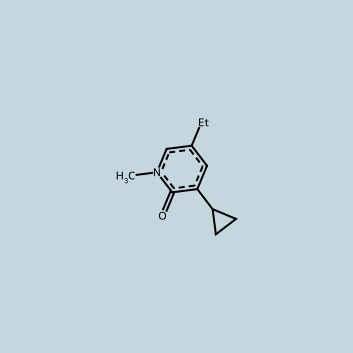 CCc1cc(C2CC2)c(=O)n(C)c1